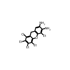 CCc1c(Cl)c2c(c(CC)c1CC)Oc1c(cc(N)c(N)c1CC)C2